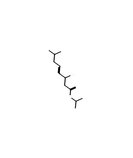 CC(C)C/C=C/C(O)CC(=O)NC(C)C